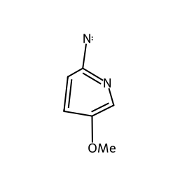 COc1ccc([N])nc1